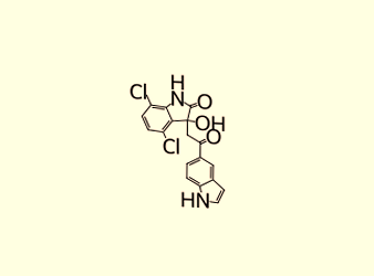 O=C(CC1(O)C(=O)Nc2c(Cl)ccc(Cl)c21)c1ccc2[nH]ccc2c1